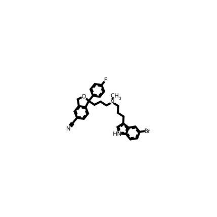 CN(CCCc1c[nH]c2ccc(Br)cc12)CCCC1(c2ccc(F)cc2)OCc2cc(C#N)ccc21